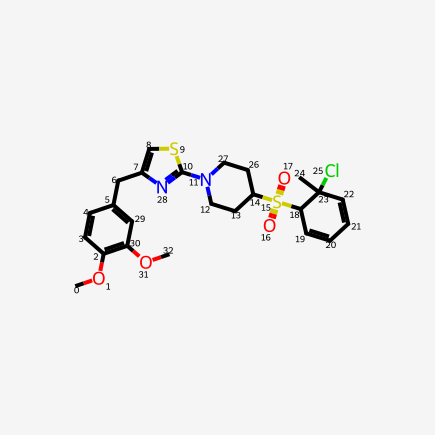 COc1ccc(Cc2csc(N3CCC(S(=O)(=O)C4C=CC=CC4(C)Cl)CC3)n2)cc1OC